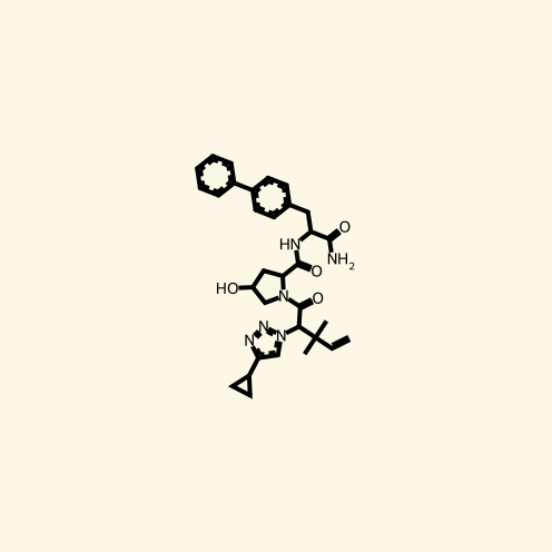 C=CC(C)(C)C(C(=O)N1CC(O)CC1C(=O)NC(Cc1ccc(-c2ccccc2)cc1)C(N)=O)n1cc(C2CC2)nn1